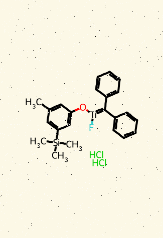 Cc1cc([O][Ti]([F])=[C](c2ccccc2)c2ccccc2)cc([Si](C)(C)C)c1.Cl.Cl